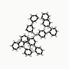 c1ccc(-c2cccc(N(c3ccc(-c4ccccc4-c4ccc5ccccc5c4)cc3)c3ccc(-c4ccccc4-n4c5ccccc5c5ccccc54)c(-c4ccccc4)c3)c2)cc1